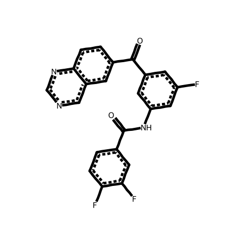 O=C(Nc1cc(F)cc(C(=O)c2ccc3ncncc3c2)c1)c1ccc(F)c(F)c1